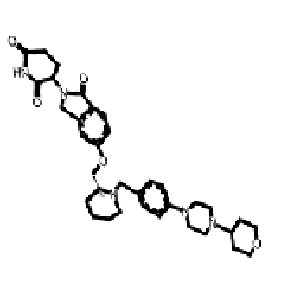 O=C1CCC(N2Cc3cc(OC[C@H]4CCCCN4Cc4ccc(N5CCN(C6CCOCC6)CC5)cc4)ccc3C2=O)C(=O)N1